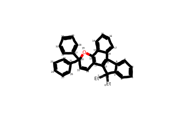 CCC1(CC)c2ccccc2-c2c1c1c(c3ccccc23)OC(c2ccccc2)(c2ccccc2)C=C1